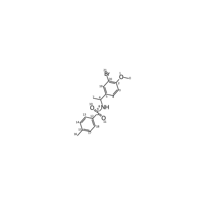 COc1ccc(C(C)NS(=O)(=O)c2ccc(C)cc2)cc1Br